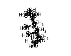 COc1cc2c(cc1S(=O)(=O)O)nc1c(C#N)c(C)c(N=Nc3cc(C)c(N=Nc4cc(C)c(N=Nc5nc6c(S(=O)(=O)O)cc7c(S(=O)(=O)O)cc(S(=O)(=O)O)cc7c6s5)cc4SCCCS(=O)(=O)O)cc3OCCCS(=O)(=O)O)c(O)n12